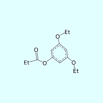 [CH2]CC(=O)Oc1cc(OCC)cc(OCC)c1